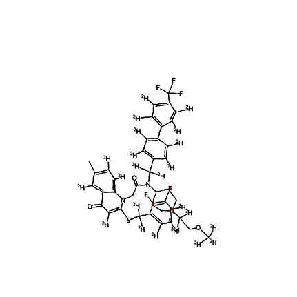 [2H]c1c([2H])c(F)c(F)c(C([2H])([2H])Sc2c([2H])c(=O)c3c([2H])c(C)c([2H])c([2H])c3n2CC(=O)N(C2CCN(C([2H])([2H])COC([2H])([2H])[2H])CC2)C([2H])([2H])c2c([2H])c([2H])c(-c3c([2H])c([2H])c(C(F)(F)F)c([2H])c3[2H])c([2H])c2[2H])c1[2H]